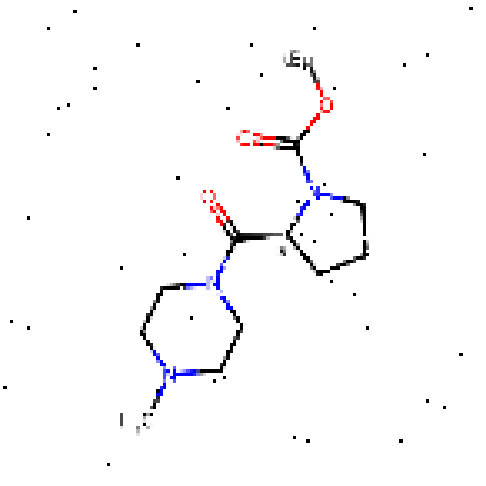 CN1CCN(C(=O)[C@@H]2CCCN2C(=O)OC(C)(C)C)CC1